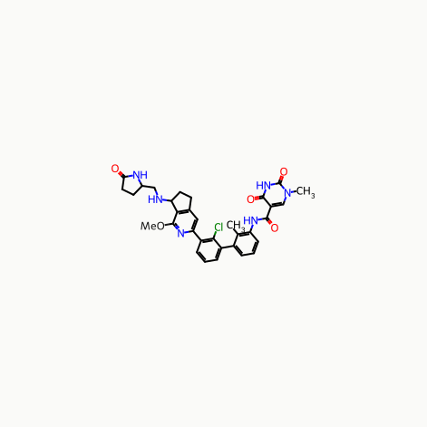 COc1nc(-c2cccc(-c3cccc(NC(=O)c4cn(C)c(=O)[nH]c4=O)c3C)c2Cl)cc2c1C(NCC1CCC(=O)N1)CC2